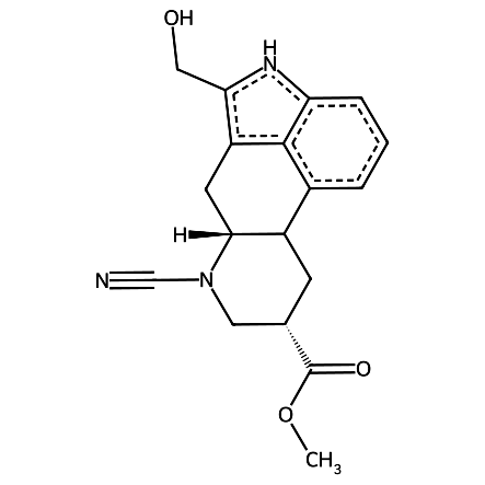 COC(=O)[C@H]1CC2c3cccc4[nH]c(CO)c(c34)C[C@H]2N(C#N)C1